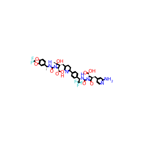 C[C@@H](NC(=O)N1[C@H](C(=O)O)[C@@H](CC2=CN=C(c3ccc([C@H](NC(=O)N4C(=O)[C@H](Cc5ccnc(N)c5)[C@H]4C(=O)O)C(F)(F)F)cc3)CC2)[C@@]1(C)O)c1ccc2c(c1)OC(F)(F)O2